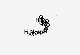 NC(=O)c1ccc(N2CCC(CN3CCN(c4cccc5c(=O)n(C6CCC(=O)NC6=O)ncc45)CC3)CC2)cc1